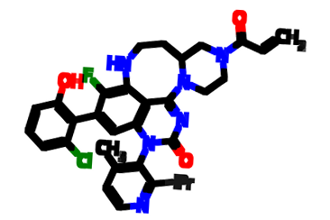 C=CC(=O)N1CCN2c3nc(=O)n(-c4c(C)ccnc4C(C)C)c4cc(-c5c(O)cccc5Cl)c(F)c(c34)NCCC2C1